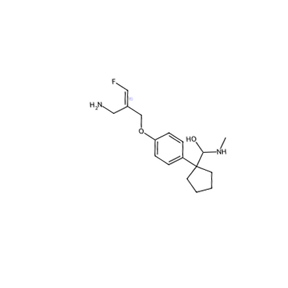 CNC(O)C1(c2ccc(OC/C(=C/F)CN)cc2)CCCC1